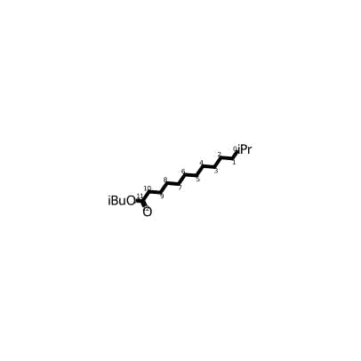 CC(C)CCCCCCCCCCC(=O)OCC(C)C